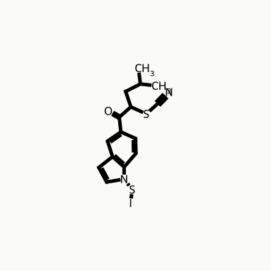 CC(C)CC(SC#N)C(=O)c1ccc2c(ccn2SI)c1